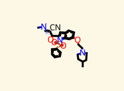 CC1CCN(CCOc2ccc3cc(C(=O)/C(C#N)=C/N(C)C)n(S(=O)(=O)c4ccccc4)c3c2)CC1